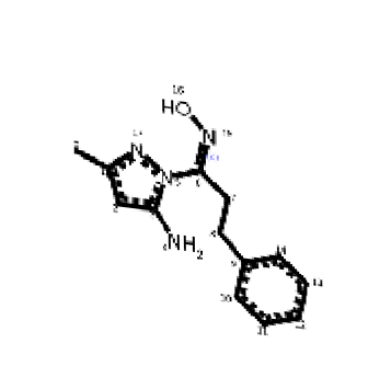 Cc1cc(N)n(/C(CCc2ccccc2)=N\O)n1